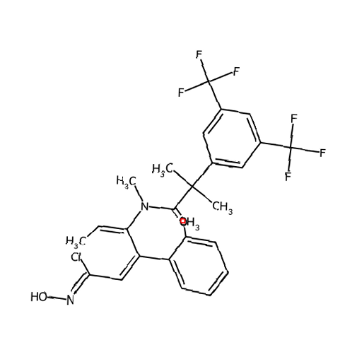 C\C=C(/C(=C\C(Cl)=N\O)c1ccccc1C)N(C)C(=O)C(C)(C)c1cc(C(F)(F)F)cc(C(F)(F)F)c1